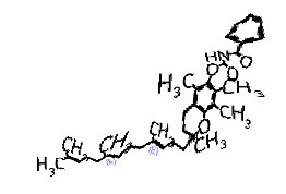 CC(C)=CCC/C(C)=C/CC/C(C)=C/CC[C@]1(C)CCc2c(C)c(OC(=O)NC(=O)c3ccccc3)c(C)c(C)c2O1